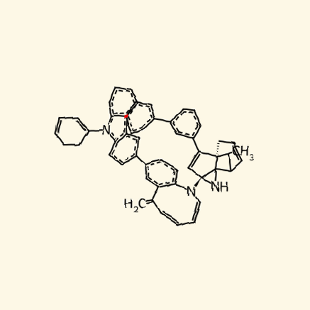 C=C1/C=C\C=C/N([C@@]23C=C(c4cccc(-c5ccccc5)c4)[C@@]45CC=CC(C4C)C52N3)c2ccc(-c3ccc4c(c3)c3ccccc3n4C3=CC=CCC3)cc21